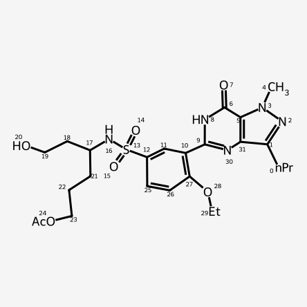 CCCc1nn(C)c2c(=O)[nH]c(-c3cc(S(=O)(=O)NC(CCO)CCCOC(C)=O)ccc3OCC)nc12